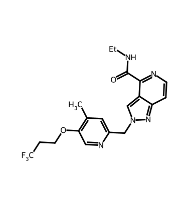 CCNC(=O)c1nccc2nn(Cc3cc(C)c(OCCC(F)(F)F)cn3)cc12